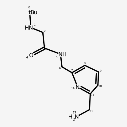 CC(C)(C)NCC(=O)NCc1cccc(CN)n1